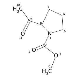 COC(=O)N1CCCC1C(C)=O